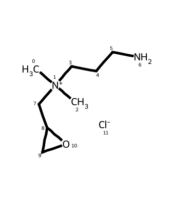 C[N+](C)(CCCN)CC1CO1.[Cl-]